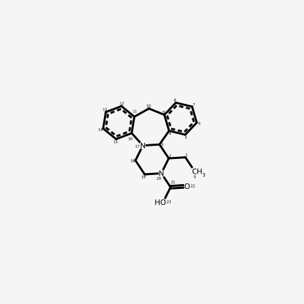 CCC1C2c3ccccc3Cc3ccccc3N2CCN1C(=O)O